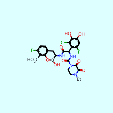 CCN1CCN(C(=O)NC(C(=O)NC2Cc3ccc(F)c(C(=O)O)c3OB2O)c2c(F)cc(O)c(O)c2Cl)C(=O)C1=O